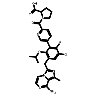 Cc1nc(Cc2cc(Cl)c(F)c(-c3ccc(C(=O)N4CCCC4C(=O)O)nc3)c2OC(C)C)n2ccnc(N)c12